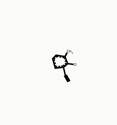 [C]#Cc1cccc(C)c1Cl